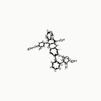 CCCc1c(Cc2ccc(-c3ccccc3C3=NOC(O)N3)cc2)c(=O)n(-c2ccc(OC)c(F)c2)c2ncnn12